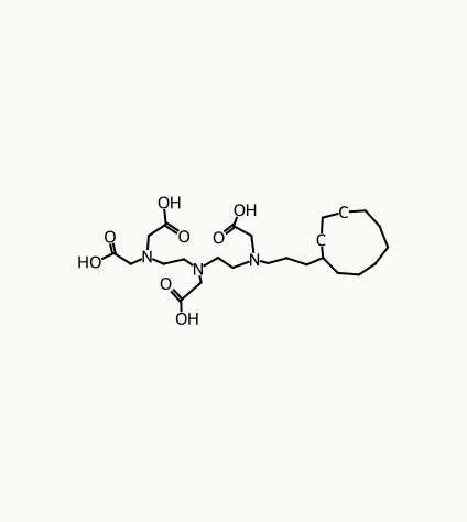 O=C(O)CN(CCCC1CCCCCCCCC1)CCN(CCN(CC(=O)O)CC(=O)O)CC(=O)O